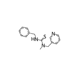 CN(Cc1cccnc1)C(=S)NCc1ccccc1